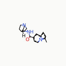 Cc1ccc2cc(C(=O)N[C@H]3CN4CCC3CC4)ccn12